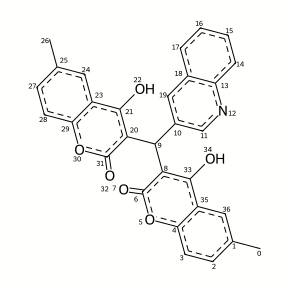 Cc1ccc2oc(=O)c(C(c3cnc4ccccc4c3)c3c(O)c4cc(C)ccc4oc3=O)c(O)c2c1